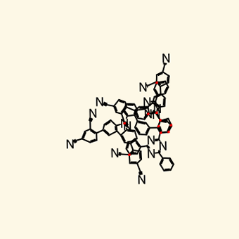 N#Cc1ccc(-c2ccc3c(c2)c2cc(-c4ccc(C#N)cc4C#N)ccc2n3-c2cccc(-c3nc(-c4ccccc4)nc(-c4ccccc4)n3)c2-c2cccc(-c3c(-c4nc(-c5ccccc5)nc(-c5ccccc5)n4)cccc3-n3c4ccc(-c5ccc(C#N)cc5C#N)cc4c4cc(-c5ccc(C#N)cc5C#N)ccc43)c2)c(C#N)c1